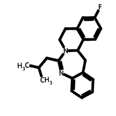 CC(C)CC1=Nc2ccccc2CC2c3ccc(F)cc3CCN12